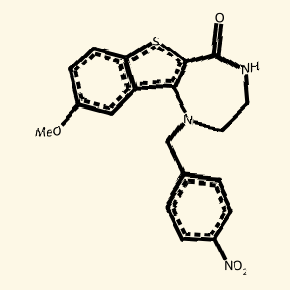 COc1ccc2sc3c(c2c1)N(Cc1ccc([N+](=O)[O-])cc1)CCNC3=O